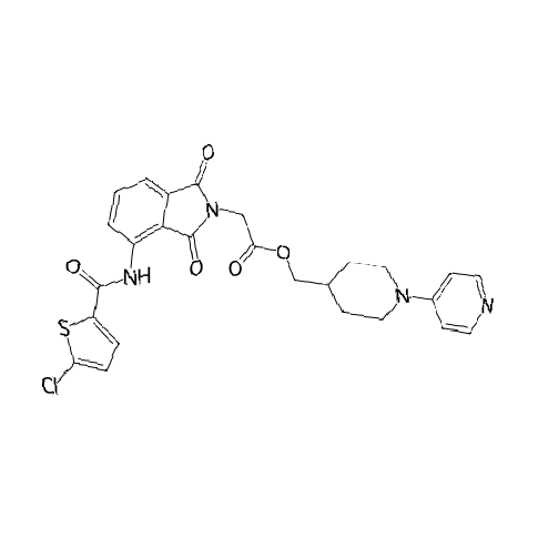 O=C(CN1C(=O)c2cccc(NC(=O)c3ccc(Cl)s3)c2C1=O)OCC1CCN(c2ccncc2)CC1